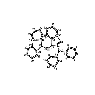 C1=C(P(c2ccccc2)c2ccccc2)[CH]([Ti][CH]2c3ccccc3-c3ccccc32)c2ccccc21